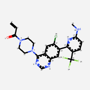 C=CC(=O)N1CCN(c2ncnc3cc(-c4nc(NC)ccc4C(F)(F)F)c(Cl)cc23)CC1